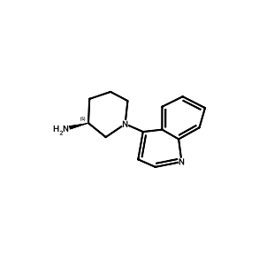 N[C@H]1CCCN(c2ccnc3ccccc23)C1